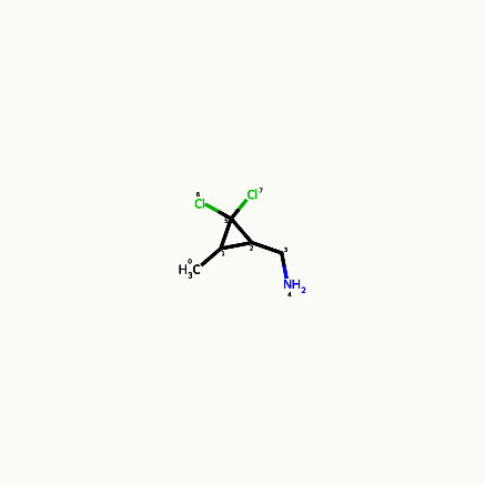 CC1C(CN)C1(Cl)Cl